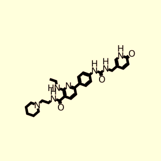 CCNc1nc(-c2ccc(NC(=O)NCc3ccc(=O)[nH]c3)cc2)ccc1C(=O)NCCN1CCCCC1